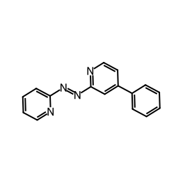 c1ccc(-c2ccnc(N=Nc3ccccn3)c2)cc1